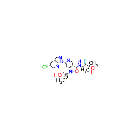 CC[C@@H](CO)Nc1cc(-n2ncc3cc(Cl)cnc32)ncc1C(=O)NC[C@@H](F)C(C)(C)O